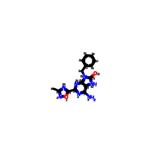 Cc1noc(-c2nc(N)c3[nH]c(=O)n(Cc4ccccc4)c3n2)n1